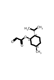 CC(C)[C@@H]1CC[C@@H](C)C[C@H]1OC(=O)C=O